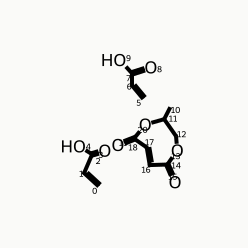 C=CC(=O)O.C=CC(=O)O.CC1COC(=O)/C=C/C(=O)O1